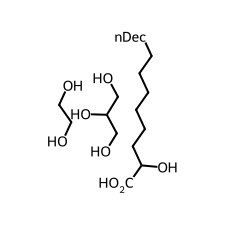 CCCCCCCCCCCCCCCCC(O)C(=O)O.OCC(O)CO.OCCO